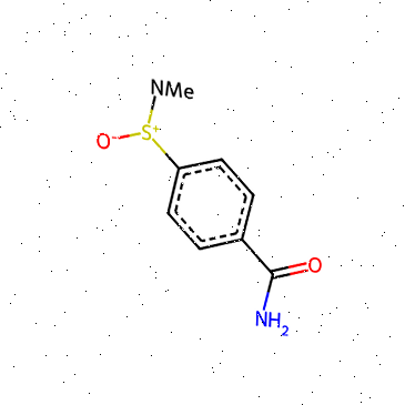 CN[S+]([O-])c1ccc(C(N)=O)cc1